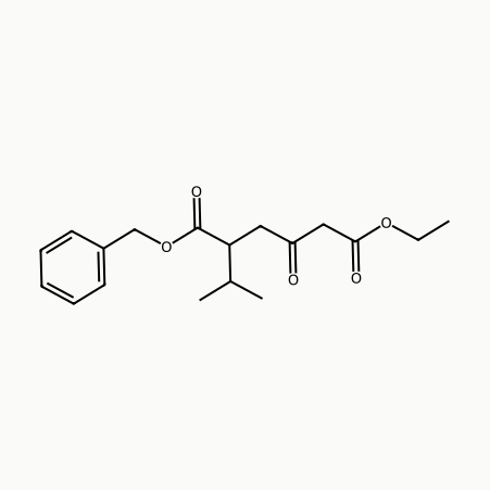 CCOC(=O)CC(=O)CC(C(=O)OCc1ccccc1)C(C)C